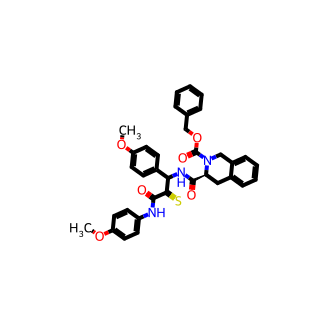 COc1ccc(NC(=O)C(=S)C(NC(=O)[C@@H]2Cc3ccccc3CN2C(=O)OCc2ccccc2)c2ccc(OC)cc2)cc1